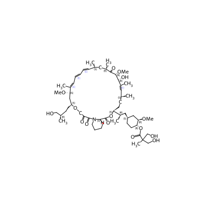 CO[C@H]1C[C@H](CC[C@@H](C)CO)OCC(=O)C(=O)N2CCCC[C@H]2C(=O)O[C@H]([C@H](C)C[C@@H]2CC[C@@H](OC(=O)C(C)(CO)CO)[C@H](OC)C2)CC[C@H](C)/C=C(\C)[C@@H](O)[C@@H](OC)C(=O)[C@H](C)C[C@H](C)/C=C/C=C/C=C/1C